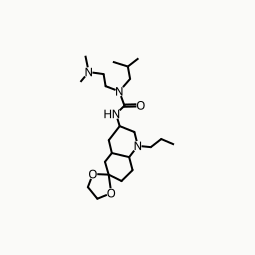 CCCN1CC(NC(=O)N(CCN(C)C)CC(C)C)CC2CC3(CCC21)OCCO3